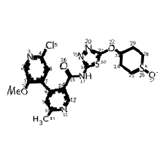 COc1cnc(Cl)cc1-c1cc(C)ncc1C(=O)Nc1nnc(OC2CC[S+]([O-])CC2)s1